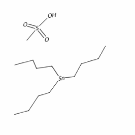 CCC[CH2][Sn]([CH2]CCC)[CH2]CCC.CS(=O)(=O)O